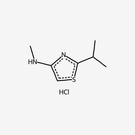 CNc1csc(C(C)C)n1.Cl